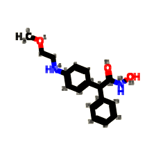 COCCNc1ccc(C(C(=O)NO)c2ccccc2)cc1